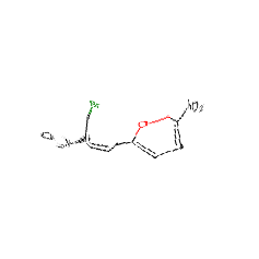 O=[N+]([O-])C(Br)=Cc1ccc([N+](=O)[O-])o1